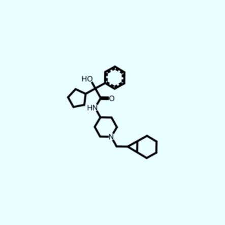 O=C(NC1CCN(CC2C3CCCCC32)CC1)C(O)(c1ccccc1)C1CCCC1